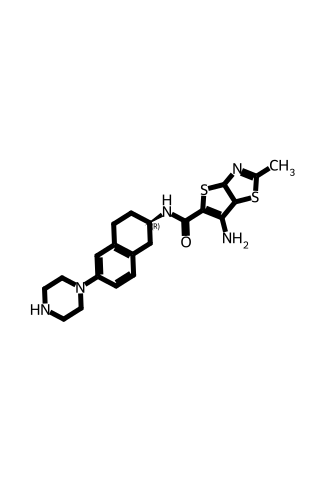 CC1=NC2SC(C(=O)N[C@@H]3CCc4cc(N5CCNCC5)ccc4C3)=C(N)C2S1